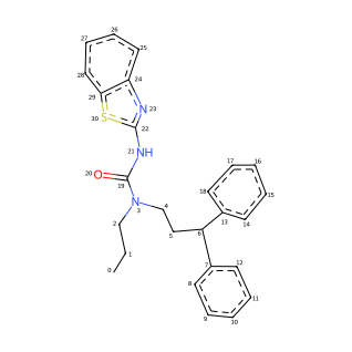 CCCN(CCC(c1ccccc1)c1ccccc1)C(=O)Nc1nc2ccccc2s1